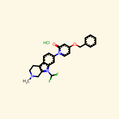 CN1CCc2c(n(C(F)F)c3cc(-n4ccc(OCc5ccccc5)cc4=O)ccc23)C1.Cl